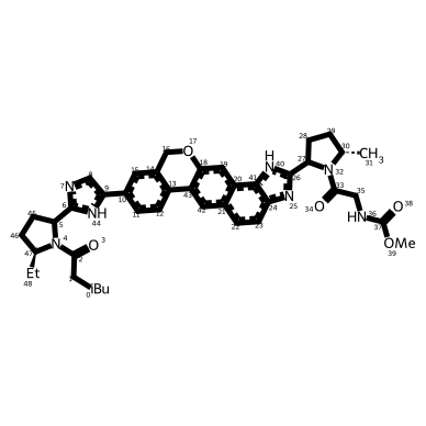 CCC(C)CC(=O)N1C(c2ncc(-c3ccc4c(c3)COc3cc5c(ccc6nc(C7CC[C@H](C)N7C(=O)CNC(=O)OC)[nH]c65)cc3-4)[nH]2)CC[C@@H]1CC